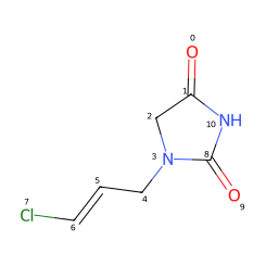 O=C1CN(CC=CCl)C(=O)N1